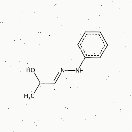 CC(O)C=NNc1ccccc1